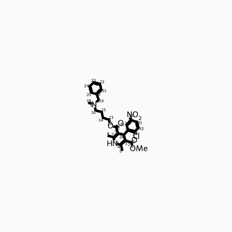 COC(=O)C1=C(C)NC(C)=C(C(=O)OCCCCN(C)Cc2ccccc2)C1c1cc([N+](=O)[O-])ccc1Cl